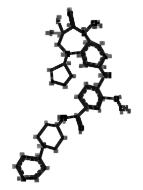 COc1cc(C(=O)NC2CCN(c3ccncc3)CC2)ccc1Nc1ncc2c(n1)N(C1CCCC1)CC(F)(F)C(=O)N2C